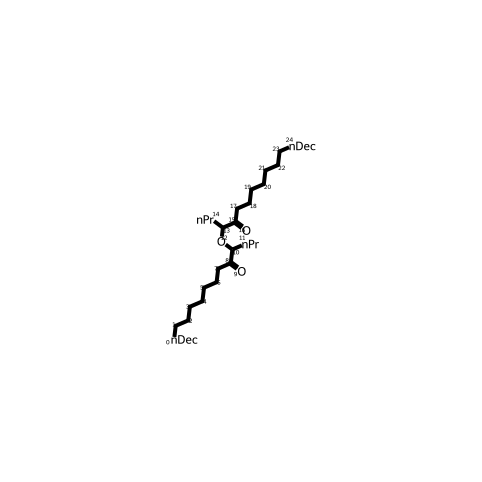 CCCCCCCCCCCCCCCCCC(=O)C(CCC)OC(CCC)C(=O)CCCCCCCCCCCCCCCCC